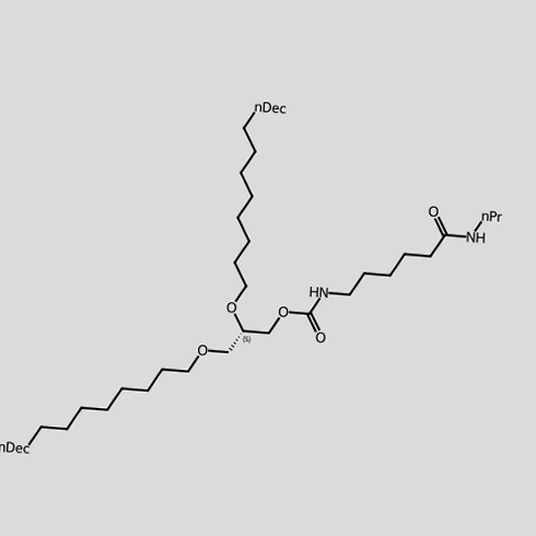 CCCCCCCCCCCCCCCCCCOC[C@@H](COC(=O)NCCCCCC(=O)NCCC)OCCCCCCCCCCCCCCCCCC